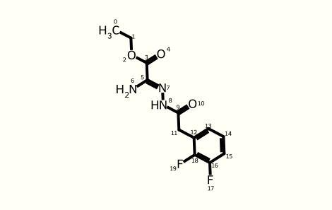 CCOC(=O)C(N)=NNC(=O)Cc1cccc(F)c1F